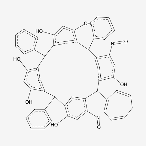 O=Nc1cc(O)c2cc1C(C1=CC=CCC=C1)c1cc(c(N=O)cc1O)C(c1ccccc1)c1cc(c(O)cc1O)C(c1ccccc1)c1cc(c(O)cc1O)C2c1ccccc1